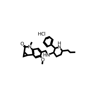 CCCC1CCC(NCc2cc3c(cc2OC)C2CC2C(=O)N3C)C(c2ccccc2)N1.Cl